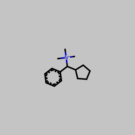 C[N+](C)(C)C(c1ccccc1)C1CCCC1